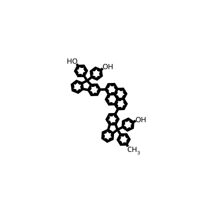 Cc1ccc(C2(c3ccc(O)cc3)c3ccccc3-c3ccc(-c4ccc5ccc6ccc(-c7ccc8c(c7)C(c7ccc(O)cc7)(c7ccc(O)cc7)c7ccccc7-8)c7ccc4c5c67)cc32)cc1